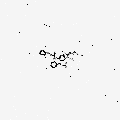 CCON=c1sc2cc(NC(=O)OCc3ccccc3)ccc2n1C.O=C(Cl)OCc1ccccc1